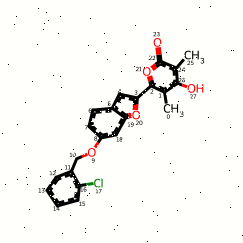 Cc1c(-c2cc3ccc(OCc4ccccc4Cl)cc3o2)oc(=O)c(C)c1O